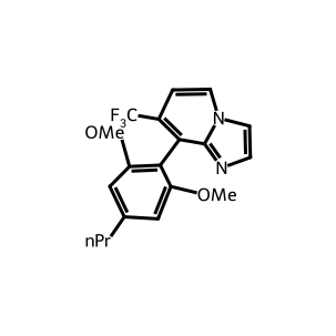 CCCc1cc(OC)c(-c2c(C(F)(F)F)ccn3ccnc23)c(OC)c1